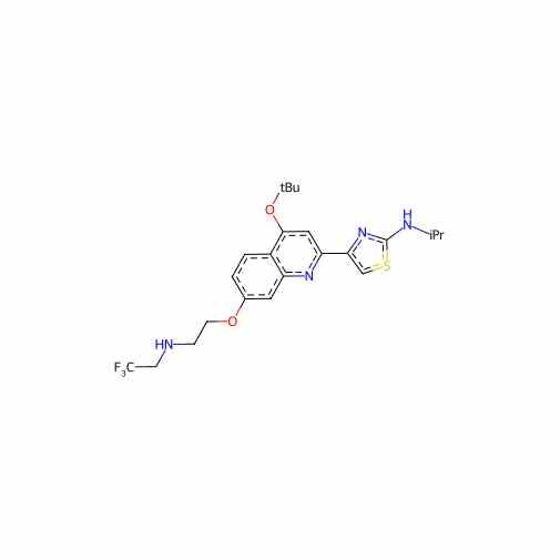 CC(C)Nc1nc(-c2cc(OC(C)(C)C)c3ccc(OCCNCC(F)(F)F)cc3n2)cs1